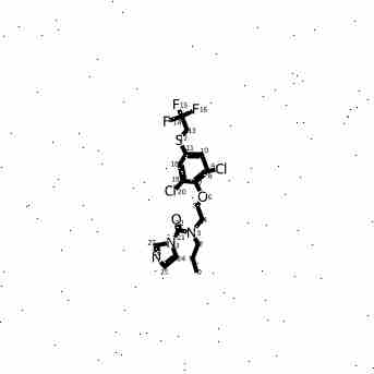 CCCN(CCOc1c(Cl)cc(SCC(F)(F)F)cc1Cl)C(=O)n1ccnc1